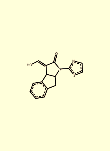 O=C1/C(=C/O)C2c3ccccc3CC2N1c1nccs1